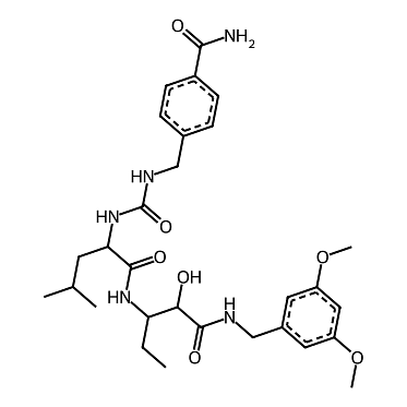 CCC(NC(=O)C(CC(C)C)NC(=O)NCc1ccc(C(N)=O)cc1)C(O)C(=O)NCc1cc(OC)cc(OC)c1